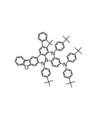 CC(C)(C)c1ccc(N2B3c4ccc(N(c5ccc(C(C)(C)C)cc5)c5ccc(C(C)(C)C)cc5)cc4N(c4ccc(C(C)(C)C)cc4)c4c3c(cc3c4C(C)(C)c4ccccc4-3)-c3cc4c(cc32)oc2ccccc24)cc1